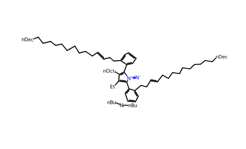 CCCCCCCCCCCCCCCCCCCCC=CCCc1ccccc1C1=C(CC)C(CCCCCCCC)=C(c2ccccc2CCC=CCCCCCCCCCCCCCCCCCCCC)[N+]1=[N-].CCC[CH2][Ni][CH2]CCC